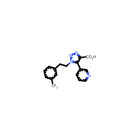 O=C(O)c1nnn(CCc2cccc(C(F)(F)F)c2)c1-c1cccnc1